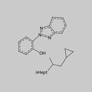 CCCCCCCC(C)CC1CC1.Oc1ccccc1-n1nc2ccccc2n1